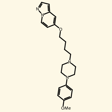 COc1ccc(N2CCN(CCCCOc3ccn4nccc4c3)CC2)cc1